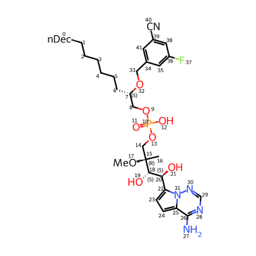 CCCCCCCCCCCCCCCC[C@@H](COP(=O)(O)OC[C@@](C)(OC)[C@@H](O)[C@@H](O)c1ccc2c(N)ncnn12)OCc1cc(F)cc(C#N)c1